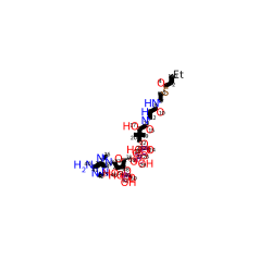 CCC=CC(=O)SCCNC(=O)CCNC(=O)C(O)C(C)(C)COP(=O)(O)OP(=O)(O)OC[C@H]1O[C@@H](n2cnc3c(N)ncnc32)[C@H](O)[C@@H]1OP(=O)(O)O